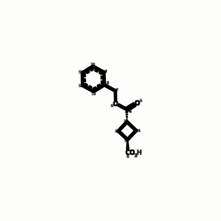 O=C(O)[C@H]1C[C@H](C(=O)OCc2ccccc2)C1